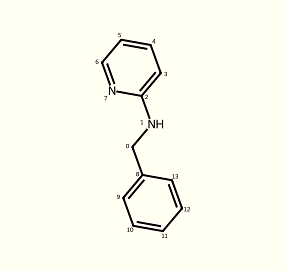 [CH](Nc1ccccn1)c1ccccc1